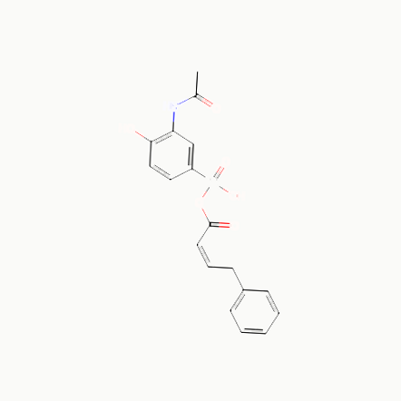 CC(=O)Nc1cc([As](=O)(O)OC(=O)/C=C\Cc2ccccc2)ccc1O